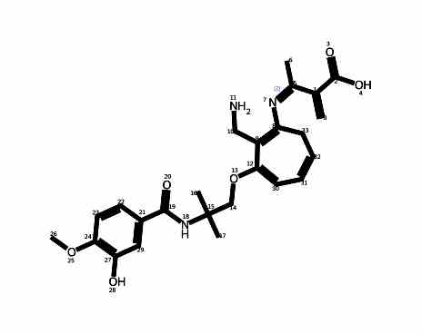 C=C(C(=O)O)/C(C)=N\C1=C(CN)C(OCC(C)(C)NC(=O)c2ccc(OC)c(O)c2)=CC=CC1